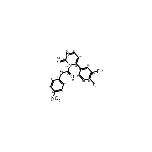 O=C(Oc1ccc([N+](=O)[O-])cc1)n1c(-c2ccc(F)c(F)c2)ccnc1=O